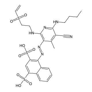 C=CS(=O)(=O)CCNc1nc(NCCCC)c(C#N)c(C)c1/N=N/c1c(S(=O)(=O)O)cc(S(=O)(=O)O)c2ccccc12